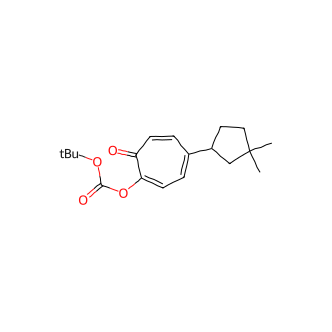 CC1(C)CCC(c2ccc(OC(=O)OC(C)(C)C)c(=O)cc2)C1